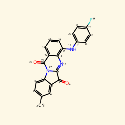 N#Cc1ccc2c(c1)C(=O)c1nc3c(Nc4ccc(F)cc4)cccc3c(=O)n1-2